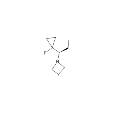 CC[C@@H](N1C[CH]C1)C1(F)CC1